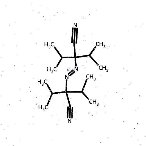 CC(C)C(C#N)(/N=N/C(C#N)(C(C)C)C(C)C)C(C)C